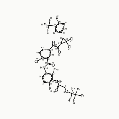 O=C(COC(F)(F)C(F)(F)F)Nc1c(F)ccc(NC(=O)c2cc(NC(=O)[C@H]3[C@H](c4ccc(F)c(C(F)(F)F)c4)C3(Cl)Cl)ccc2Cl)c1F